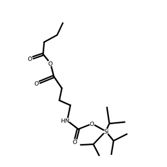 CCCC(=O)OC(=O)CCCNC(=O)O[Si](C(C)C)(C(C)C)C(C)C